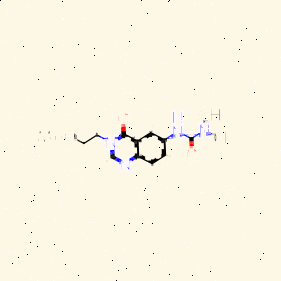 COCCn1cnc2ccc(NC(=O)N(C)C)cc2c1=O